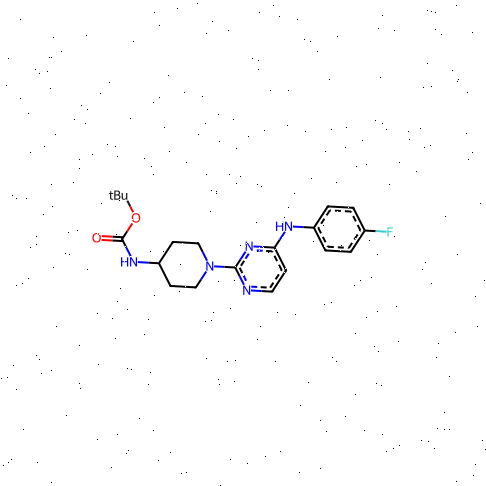 CC(C)(C)OC(=O)NC1CCN(c2nccc(Nc3ccc(F)cc3)n2)CC1